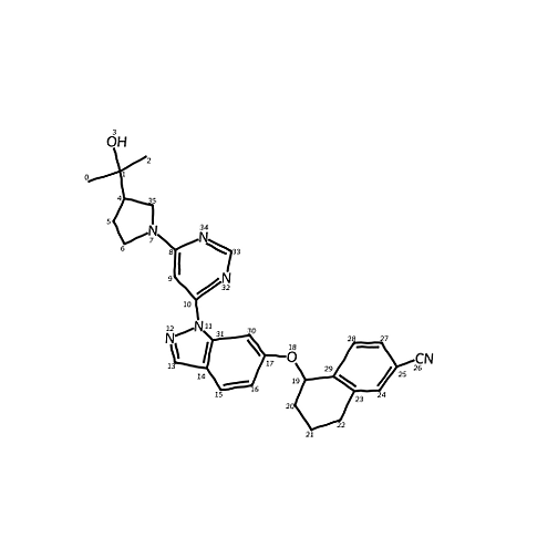 CC(C)(O)C1CCN(c2cc(-n3ncc4ccc(OC5CCCc6cc(C#N)ccc65)cc43)ncn2)C1